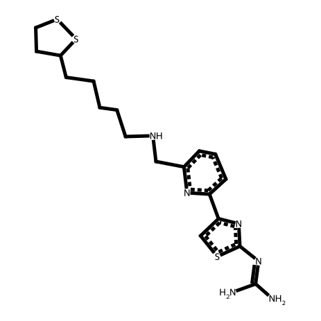 NC(N)=Nc1nc(-c2cccc(CNCCCCCC3CCSS3)n2)cs1